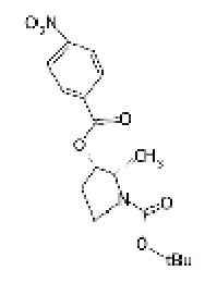 C[C@H]1[C@@H](OC(=O)c2ccc([N+](=O)[O-])cc2)CCN1C(=O)OC(C)(C)C